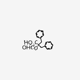 O=COC(Cc1ccccc1)(Cc1ccccc1)C(=O)O